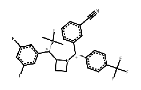 CC(C)(F)[C@@H](c1cc(F)cc(F)c1)C1CCN1[C@@H](c1ccc(C(F)(F)F)cc1)c1cccc(C#N)c1